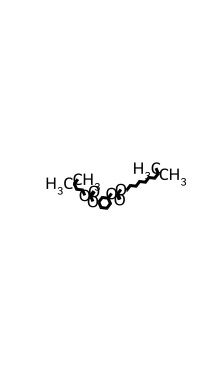 CC(C)CCCCCCCOC(=O)OC1CCCC(OC(=O)OCCC(C)C)C1